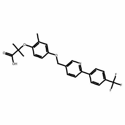 Cc1cc(OCc2ccc(-c3ccc(C(F)(F)F)cc3)nc2)ccc1OC(C)(C)C(=O)O